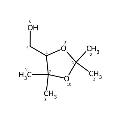 CC1(C)OC(CO)C(C)(C)O1